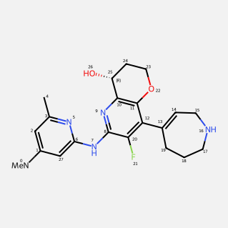 CNc1cc(C)nc(Nc2nc3c(c(C4=CCNCCC4)c2F)OCC[C@H]3O)c1